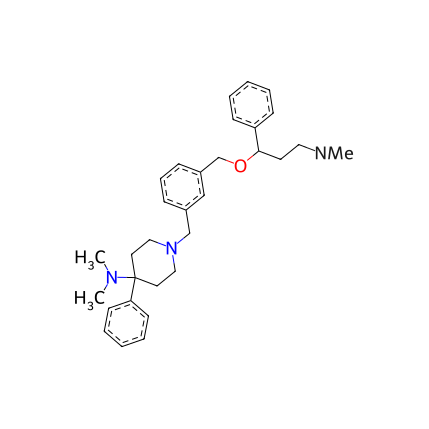 CNCCC(OCc1cccc(CN2CCC(c3ccccc3)(N(C)C)CC2)c1)c1ccccc1